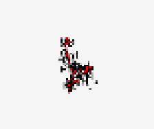 COc1cc2c(cc1OCc1cc(COc3cc4c(cc3OC)C(=O)N3c5ccccc5C[C@H]3CN4)cc(NC(=O)CNC(=O)CNC(=O)CNC(=O)CCCCC(=O)ON3C(=O)CCC3=O)c1)N=C[C@@H]1Cc3ccccc3N1C2=O